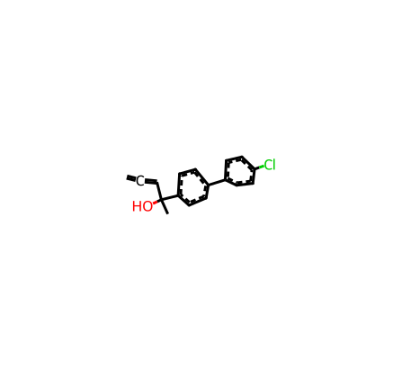 C=C=CC(C)(O)c1ccc(-c2ccc(Cl)cc2)cc1